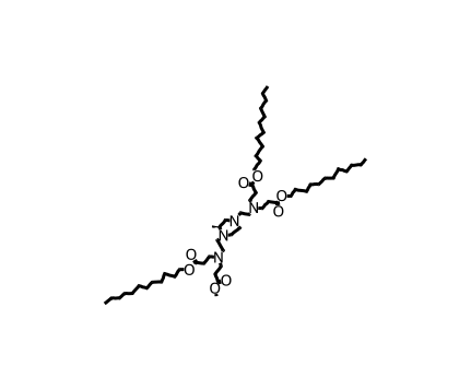 CCCCCCCCCCCCOC(=O)CCN(CCC(=O)OCCCCCCCCCCCC)CCN1CCN(CCN(CCC(=O)OC)CCC(=O)OCCCCCCCCCCCC)[C@@H](C)C1